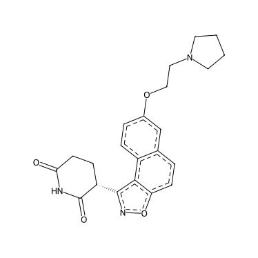 O=C1CC[C@H](c2noc3ccc4cc(OCCN5CCCC5)ccc4c23)C(=O)N1